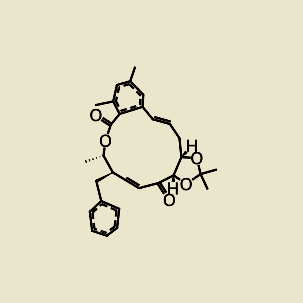 Cc1cc(C)c2c(c1)/C=C/C[C@@H]1OC(C)(C)O[C@@H]1C(=O)/C=C\[C@@H](Cc1ccccc1)[C@H](C)OC2=O